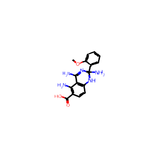 COc1ccccc1C1(N)N=C(N)c2c(ccc(C(=O)O)c2N)N1